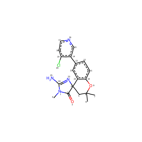 CN1C(=O)C2(CC(C)(C)Oc3ccc(-c4cnccc4Cl)cc32)N=C1N